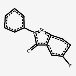 O=c1c2cc(F)ccc2[se]n1-c1ccccc1